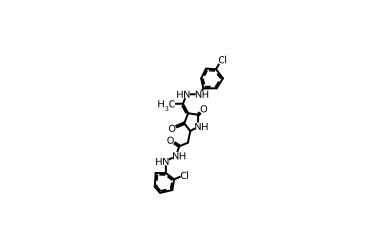 CC(NNc1ccc(Cl)cc1)=C1C(=O)NC(CC(=O)NNc2ccccc2Cl)C1=O